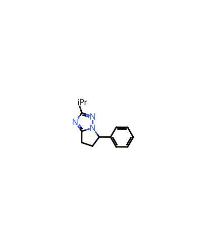 CC(C)c1nc2n(n1)C(c1ccccc1)CC2